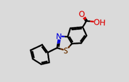 O=C(O)c1ccc2sc(-c3ccccc3)nc2c1